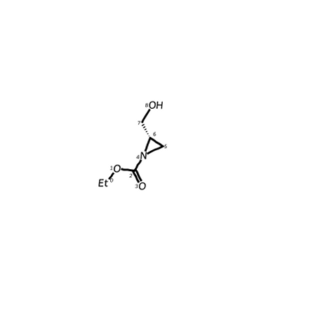 CCOC(=O)N1C[C@H]1CO